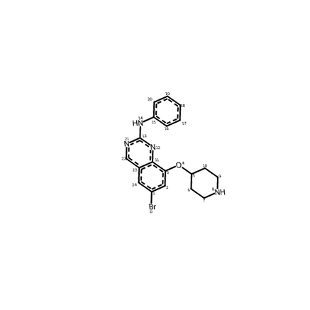 Brc1cc(OC2CCNCC2)c2nc(Nc3ccccc3)ncc2c1